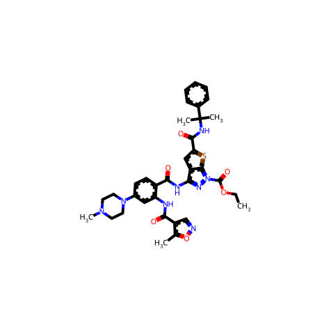 CCOC(=O)n1nc(NC(=O)c2ccc(N3CCN(C)CC3)cc2NC(=O)c2cnoc2C)c2cc(C(=O)NC(C)(C)c3ccccc3)sc21